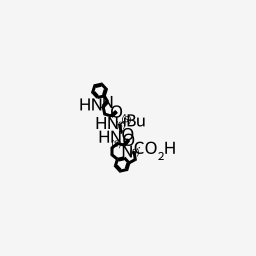 CC[C@H](C)[C@H](NC(=O)Cc1nc2ccccc2[nH]1)C(=O)N[C@H]1CCc2cccc3c2N(C1=O)[C@H](C(=O)O)C3